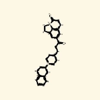 O=C(CCC1CCN(C2CCc3ccccc3C2)CC1)c1cc2c3c(c1)CCN3C(=O)CC2